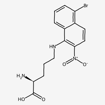 N[C@@H](CCCNc1c([N+](=O)[O-])ccc2c(Br)cccc12)C(=O)O